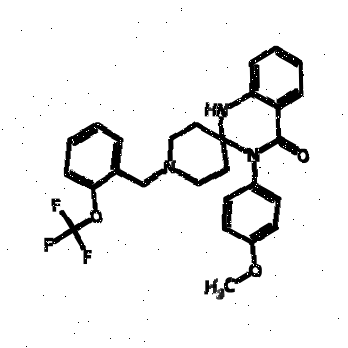 COc1ccc(N2C(=O)c3ccccc3NC23CCN(Cc2ccccc2OC(F)(F)F)CC3)cc1